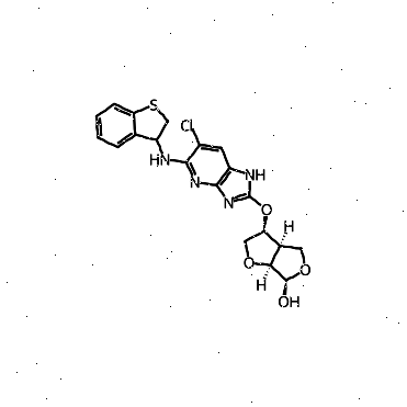 O[C@@H]1OC[C@H]2[C@@H]1OC[C@H]2Oc1nc2nc(NC3CSc4ccccc43)c(Cl)cc2[nH]1